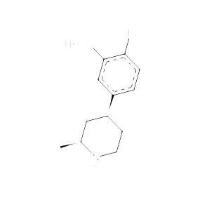 C[C@H]1C[C@@H](c2ccc(F)c(C(=O)O)c2)CCN1